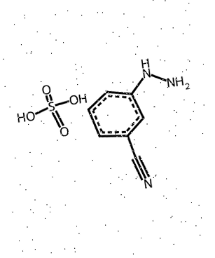 N#Cc1cccc(NN)c1.O=S(=O)(O)O